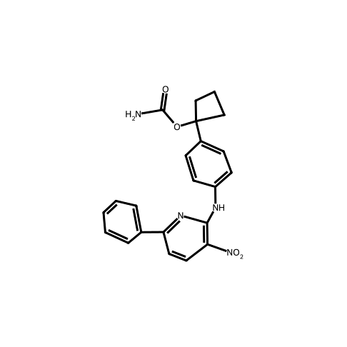 NC(=O)OC1(c2ccc(Nc3nc(-c4ccccc4)ccc3[N+](=O)[O-])cc2)CCC1